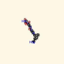 O=C1CCC(N2C(=O)c3cc4c(cc3C2=O)CN(CC(=O)N2CCC3(CC2)CCN(c2ccc([C@@H]5c6ccc(-c7cn[nH]c7)cc6CC[C@@H]5c5ccccc5)cc2)CC3)C4)C(=O)N1